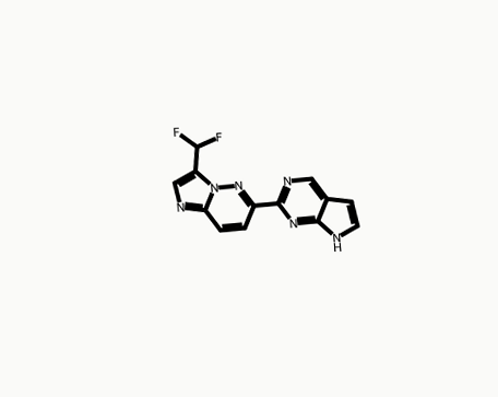 FC(F)c1cnc2ccc(-c3ncc4cc[nH]c4n3)nn12